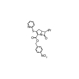 CC(C)C1C(=O)N2C(C(=O)OCc3ccc([N+](=O)[O-])cc3)=C(Sc3ccccn3)CC12